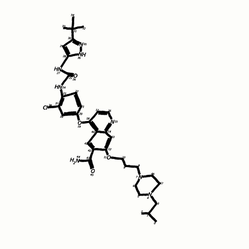 CC(C)CN1CCN(CCCOc2cc3nccc(Oc4ccc(NC(=O)Nc5cc(C(C)(C)C)n[nH]5)c(Cl)c4)c3cc2C(N)=O)CC1